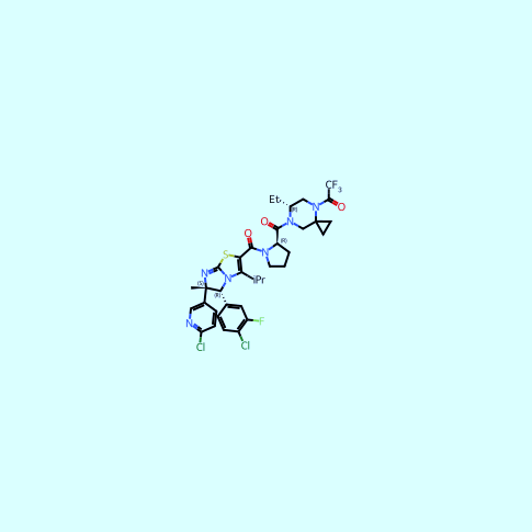 CC[C@@H]1CN(C(=O)C(F)(F)F)C2(CC2)CN1C(=O)[C@H]1CCCN1C(=O)C1=C(C(C)C)N2C(=N[C@@](C)(c3ccc(Cl)nc3)[C@H]2c2ccc(Cl)c(F)c2)S1